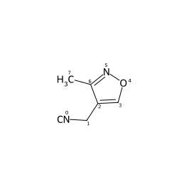 [C-]#[N+]Cc1conc1C